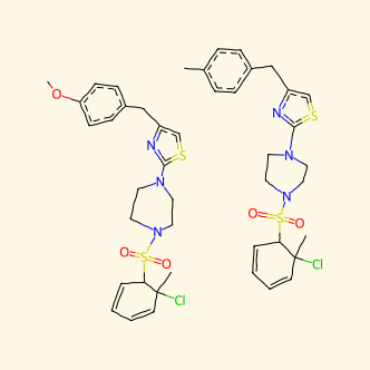 COc1ccc(Cc2csc(N3CCN(S(=O)(=O)C4C=CC=CC4(C)Cl)CC3)n2)cc1.Cc1ccc(Cc2csc(N3CCN(S(=O)(=O)C4C=CC=CC4(C)Cl)CC3)n2)cc1